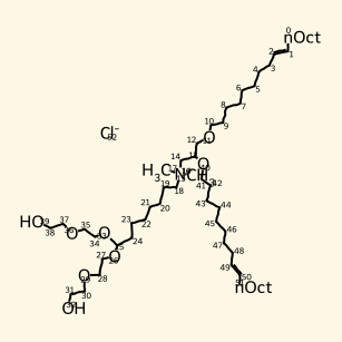 CCCCCCCCC=CCCCCCCCCOCC(C[N+](C)(C)CCCCCCCC(OCCOCCO)OCCOCCO)OCCCCCCCCC=CCCCCCCCC.[Cl-]